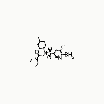 Bc1ncc(S(=O)(=O)N(CC(=O)N(CC)CC)c2ccc(C)cc2)cc1Cl